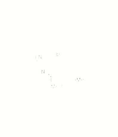 CCc1c(N)n[nH]c1CC(OC)OC